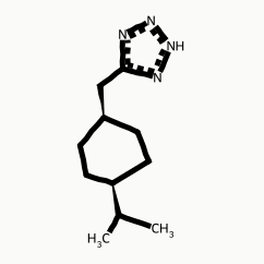 CC(C)[C@H]1CC[C@@H](Cc2nn[nH]n2)CC1